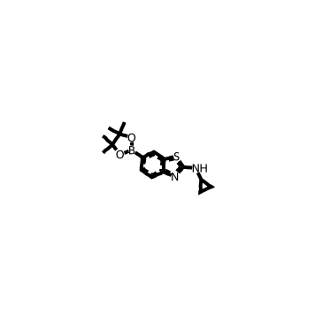 CC1(C)OB(c2ccc3nc(NC4CC4)sc3c2)OC1(C)C